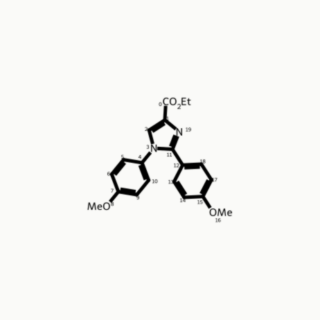 CCOC(=O)c1cn(-c2ccc(OC)cc2)c(-c2ccc(OC)cc2)n1